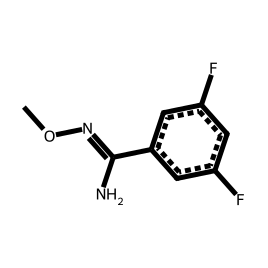 CO/N=C(\N)c1cc(F)cc(F)c1